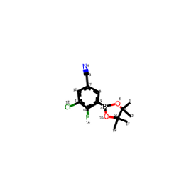 CC1(C)OB(c2cc(C#N)cc(Cl)c2F)OC1(C)C